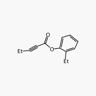 CCC#CC(=O)Oc1ccccc1CC